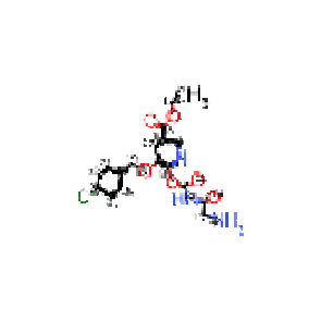 CCOC(=O)c1cnc(OC(=O)NC(=O)CN)c(OCc2ccc(Cl)cc2)c1